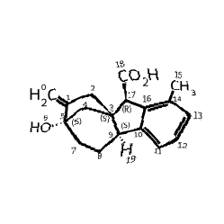 C=C1C[C@]23C[C@@]1(O)CC[C@@H]2c1cccc(C)c1[C@@H]3C(=O)O